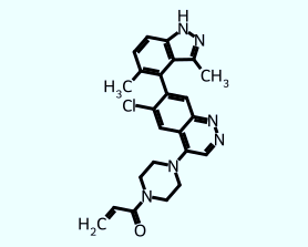 C=CC(=O)N1CCN(c2cnnc3cc(-c4c(C)ccc5[nH]nc(C)c45)c(Cl)cc23)CC1